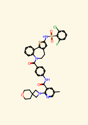 Cc1cnc(N2CC3(CCOCC3)C2)c(C(=O)Nc2ccc(C(=O)N3CCc4cc(NS(=O)(=O)c5c(F)cccc5Cl)sc4-c4ccccc43)cc2)c1